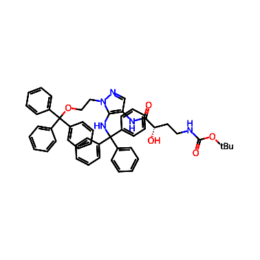 CC(C)(C)OC(=O)NCC[C@H](O)C(=O)Nc1cnn(CCOC(c2ccccc2)(c2ccccc2)c2ccccc2)c1NC(c1ccccc1)(c1ccccc1)c1ccccc1